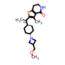 COCC1CN([C@H]2CC[C@H]([C@@H](C)c3sc4c(c3C)C(=O)NCC4)CC2)C1